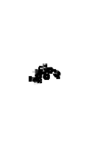 CCOc1cc2c(cc1OCC)/C(=C(/Nc1ccc(CN3CCSCC3)cc1)c1ccccc1)C(=O)N2